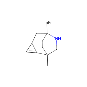 CCCC12CCC(C)(CN1)C1=CC1C2